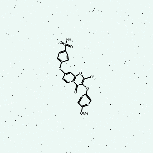 COc1ccc(Oc2c(C(F)(F)F)oc3cc(Oc4ccc(S(N)(=O)=O)cc4)ccc3c2=O)cc1